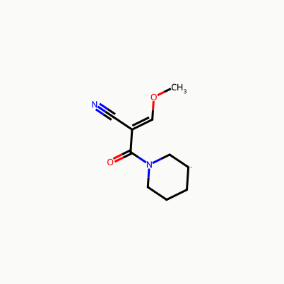 COC=C(C#N)C(=O)N1C[CH]CCC1